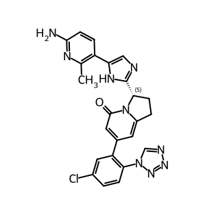 Cc1nc(N)ccc1-c1cnc([C@@H]2CCc3cc(-c4cc(Cl)ccc4-n4cnnn4)cc(=O)n32)[nH]1